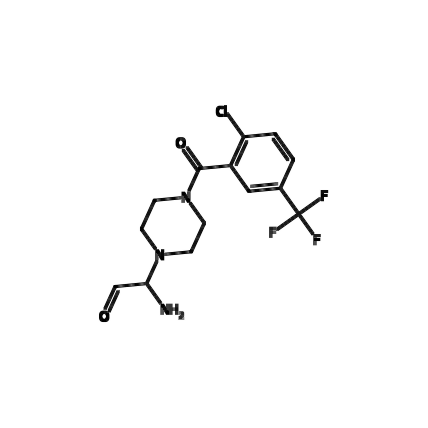 NC(C=O)N1CCN(C(=O)c2cc(C(F)(F)F)ccc2Cl)CC1